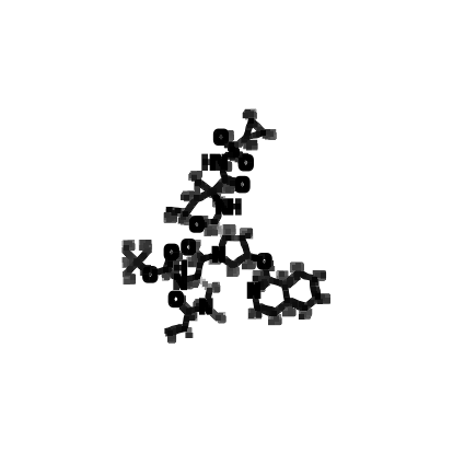 C=CC(=O)N(C)C[C@H](NC(=O)OC(C)(C)C)C(=O)N1C[C@H](Oc2nccc3ccccc23)C[C@H]1C(=O)N[C@]1(C(=O)NS(=O)(=O)C2CC2)CC1C=C